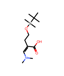 CN(C)C=C(CCO[Si](C)(C)C(C)(C)C)C(=O)O